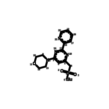 CC(C)(C)S(=O)(=O)Cc1cc(N2CCOCC2)nc(-c2ccccn2)n1